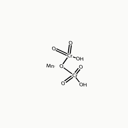 [Mn].[O]=[Cr](=[O])([OH])[O][Cr](=[O])(=[O])[OH]